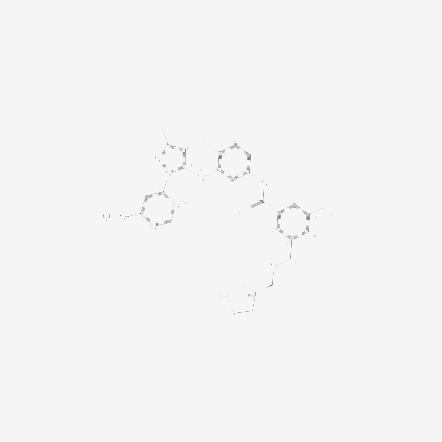 CNc1cc(-n2nc(C)cc2Nc2cc(NC(=O)c3cc(CNC[C@H]4CCCO4)cc(C(F)(F)F)c3)ccc2C)ncn1